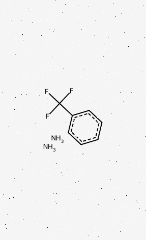 FC(F)(F)c1ccccc1.N.N